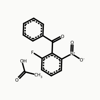 CC(=O)O.O=C(c1ccccc1)c1c(F)cccc1[N+](=O)[O-]